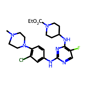 CCOC(=O)N1CCC(Nc2nc(Nc3ccc(N4CCN(C)CC4)c(Cl)c3)ncc2F)CC1